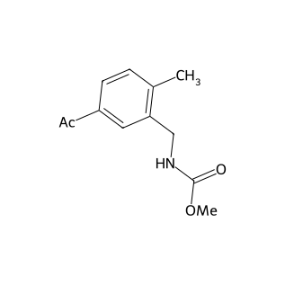 COC(=O)NCc1cc(C(C)=O)ccc1C